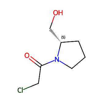 O=C(CCl)N1CCC[C@H]1CO